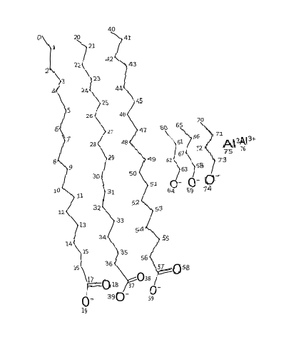 CCCCCCCCCCCCCCCCCC(=O)[O-].CCCCCCCCCCCCCCCCCC(=O)[O-].CCCCCCCCCCCCCCCCCC(=O)[O-].CCCC[O-].CCCC[O-].CCCC[O-].[Al+3].[Al+3]